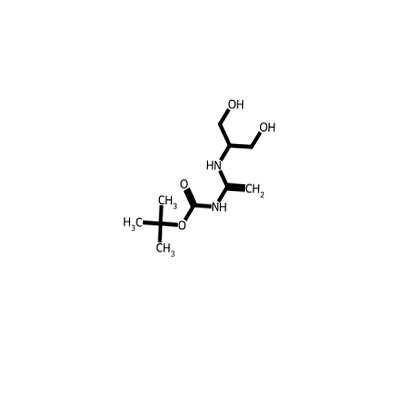 C=C(NC(=O)OC(C)(C)C)NC(CO)CO